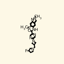 COc1cc2nn(C)cc2cc1NC(=O)c1cnc(N2CC(CN3CC[C@@H](F)C3)C2)cn1